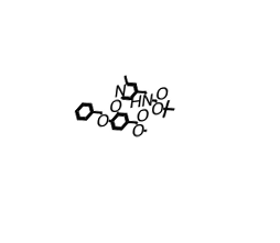 COC(=O)c1ccc(OCc2ccccc2)c(Oc2cc(CNC(=O)OC(C)(C)C)cc(C)n2)c1